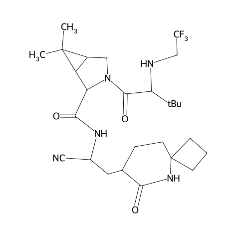 CC(C)(C)C(NCC(F)(F)F)C(=O)N1CC2C(C1C(=O)NC(C#N)CC1CCC3(CCC3)NC1=O)C2(C)C